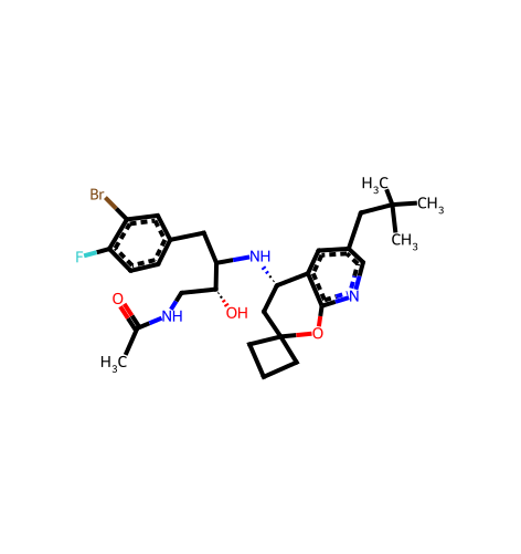 CC(=O)NC[C@@H](O)C(Cc1ccc(F)c(Br)c1)N[C@H]1CC2(CCC2)Oc2ncc(CC(C)(C)C)cc21